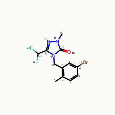 Cc1ccc(Br)cc1Cn1c(C(F)F)nn(C)c1=O